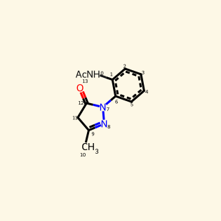 CC(=O)Nc1ccccc1N1N=C(C)CC1=O